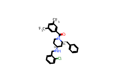 O=C(c1cc(C(F)(F)F)cc(C(F)(F)F)c1)N1CC[C@H](NCc2ccccc2Cl)C[C@H]1Cc1ccccc1